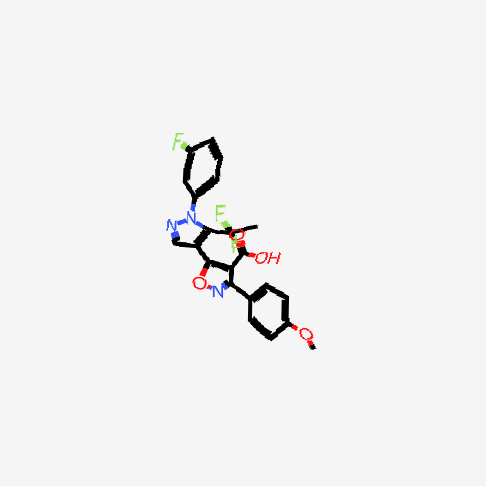 COc1ccc(-c2noc(-c3cnn(-c4cccc(F)c4)c3C(C)(F)F)c2C(=O)O)cc1